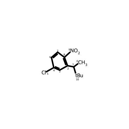 CC(c1cc(Cl)ccc1[N+](=O)[O-])C(C)(C)C